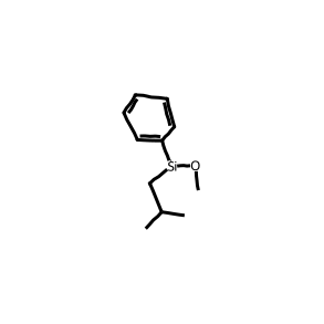 CO[Si](CC(C)C)c1ccccc1